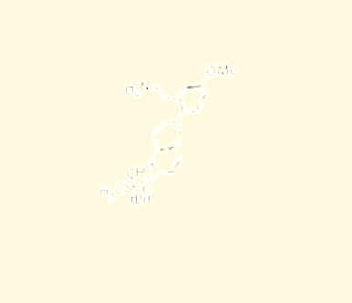 COc1ccc(C2CCc3cc(O[Si](C)(C)C(C)(C)C)ccc3C2)c(CCN)c1